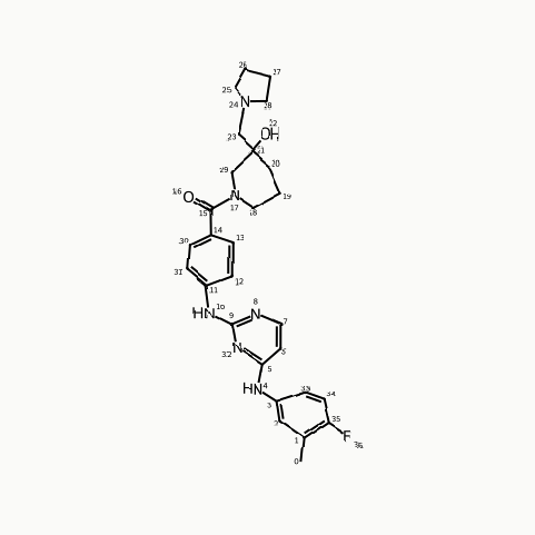 Cc1cc(Nc2ccnc(Nc3ccc(C(=O)N4CCCC(O)(CN5CCCC5)C4)cc3)n2)ccc1F